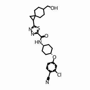 N#Cc1ccc(O[C@H]2CC[C@H](NC(=O)c3nnc(C4CC45CCC(CO)CC5)s3)CC2)cc1Cl